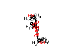 Cc1cc(CCC(=O)OCCOCCOC(COC(=O)CCc2cc(C)c(O)c(C(C)(C)C)c2)C(O)(Oc2ccccc2)C(C)(C)C)cc(C(C)(C)C)c1O